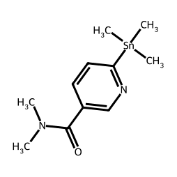 CN(C)C(=O)c1cc[c]([Sn]([CH3])([CH3])[CH3])nc1